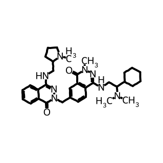 CN(C)C(CNc1nn(C)c(=O)c2cc(Cn3nc(NCC4CCCN4C)c4ccccc4c3=O)ccc12)C1CCCCC1